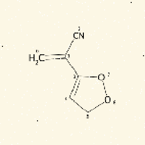 C=C(C#N)C1=CCOO1